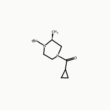 C[C@H]1CN(C(=O)C2CC2)CCN1C(C)(C)C